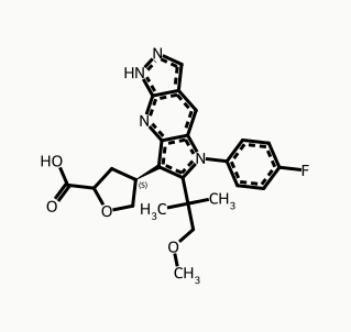 COCC(C)(C)c1c([C@H]2COC(C(=O)O)C2)c2nc3[nH]ncc3cc2n1-c1ccc(F)cc1